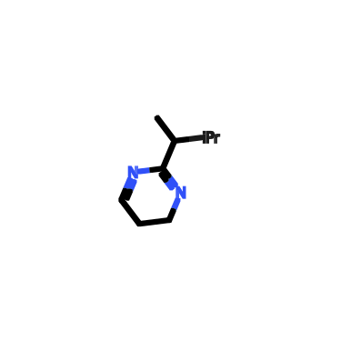 CC(C)C(C)C1=NCCC=N1